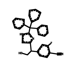 N#Cc1ccc(C(CO)c2c[nH]c(C(c3ccccc3)(c3ccccc3)c3ccccc3)n2)cc1F